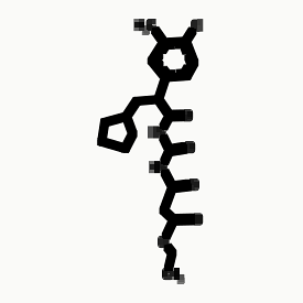 CCOC(=O)CC(=O)NC(=O)NC(=O)C(CC1CCCC1)c1ccc(Cl)c(C)c1